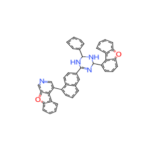 c1ccc(C2NC(c3ccc4c(-c5cncc6oc7ccccc7c56)cccc4c3)=NC(c3cccc4oc5ccccc5c34)N2)cc1